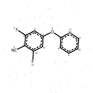 N#Cc1c(F)cc(Oc2ccccn2)cc1F